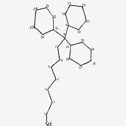 [Sn][CH2]CCCCCCC(C1CCCCC1)(C1CCCCC1)C1CCCCC1